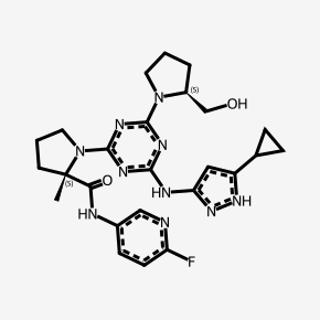 C[C@@]1(C(=O)Nc2ccc(F)nc2)CCCN1c1nc(Nc2cc(C3CC3)[nH]n2)nc(N2CCC[C@H]2CO)n1